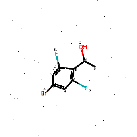 CC(O)c1c(F)cc(Br)cc1F